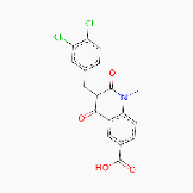 CN1C(=O)C(Cc2ccc(Cl)c(Cl)c2)C(=O)c2cc(C(=O)O)ccc21